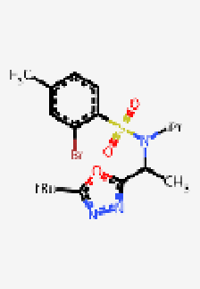 CC(C)N(C(C)c1nnc(C(C)(C)C)o1)S(=O)(=O)c1ccc(C(F)(F)F)cc1Br